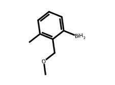 COCc1c(C)ccc[c]1[BiH2]